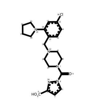 O=C(O)c1ccn(C(=O)N2CCN(Cc3ccc(Cl)cc3N3CCCC3)CC2)n1